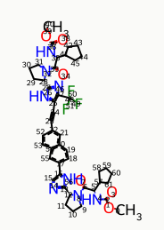 COC(=O)N[C@H](C(=O)N1CCC[C@H]1c1ncc(-c2ccc3cc(C#Cc4[nH]c([C@@H]5CCCN5C(=O)[C@@H](NC(=O)OC)C5CCCC5)nc4C(F)(F)F)ccc3c2)[nH]1)C1CCCC1